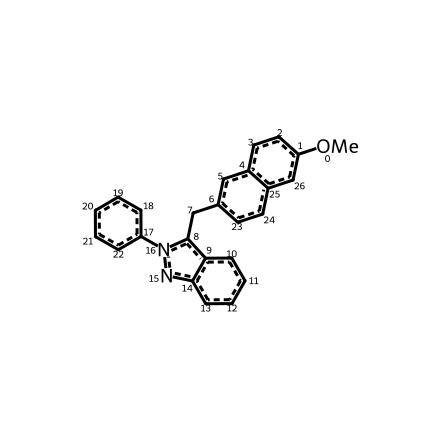 COc1ccc2cc(Cc3c4ccccc4nn3-c3ccccc3)ccc2c1